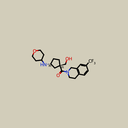 O=C(N1CCc2ccc(C(F)(F)F)cc2C1)[C@@]1(CO)CC[C@@H](NC2CCOCC2)C1